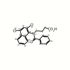 O=C(O)CCCN(C(=O)c1ccccc1)c1c(Cl)cc(Cl)c2ccccc12